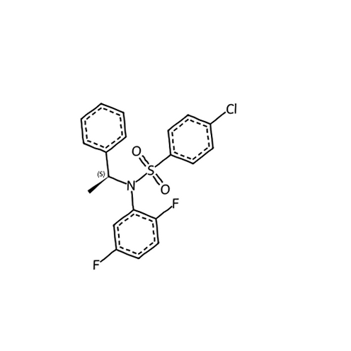 C[C@@H](c1ccccc1)N(c1cc(F)ccc1F)S(=O)(=O)c1ccc(Cl)cc1